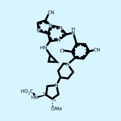 CO[C@H]1CN(C2CCN(c3cc(C#N)cc(Nc4nc(NC5CC5)c5ncc(C#N)n5n4)c3Cl)CC2)C[C@@H]1NC(=O)O